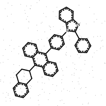 c1ccc(-c2nc3ccccc3n2-c2ccc(-c3c4ccccc4c(C4CCc5ccccc5C4)c4ccccc34)cc2)cc1